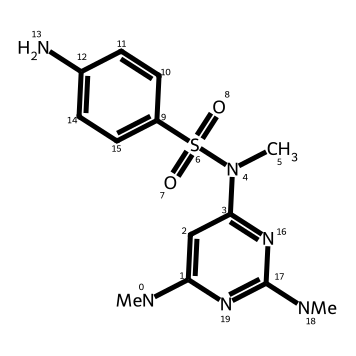 CNc1cc(N(C)S(=O)(=O)c2ccc(N)cc2)nc(NC)n1